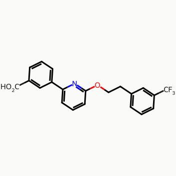 O=C(O)c1cccc(-c2cccc(OCCc3cccc(C(F)(F)F)c3)n2)c1